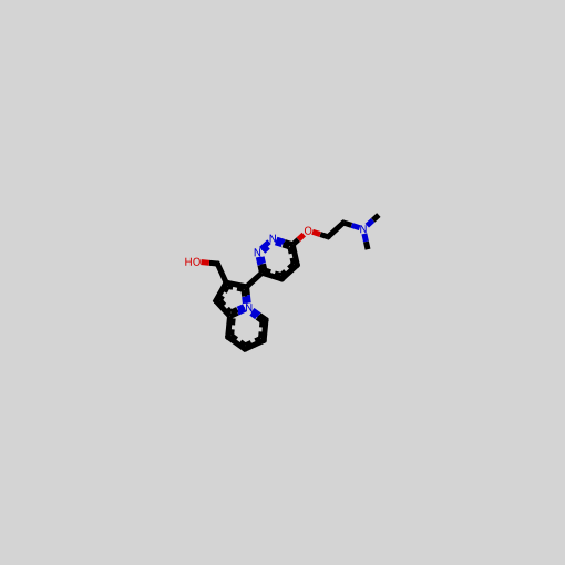 CN(C)CCOc1ccc(-c2c(CO)cc3ccccn23)nn1